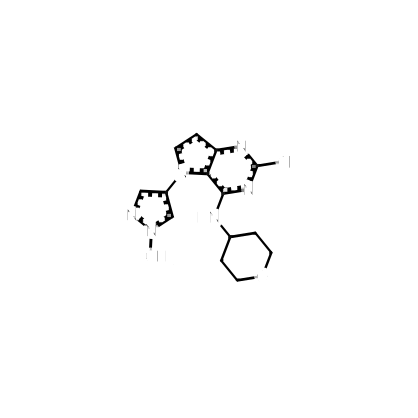 Cn1cc(-n2ccc3nc(Cl)nc(NC4CCOCC4)c32)cn1